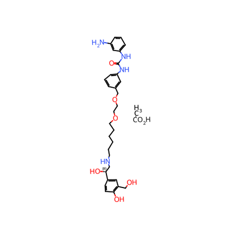 CC(=O)O.Nc1cccc(NC(=O)Nc2cccc(COCCOCCCCCCNC[C@H](O)c3ccc(O)c(CO)c3)c2)c1